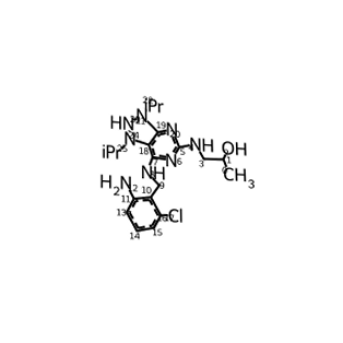 CC(O)CNc1nc(NCc2c(N)cccc2Cl)c2c(n1)N(C(C)C)NN2C(C)C